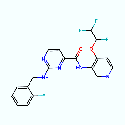 O=C(Nc1cnccc1OC(F)C(F)F)c1ccnc(NCc2ccccc2F)n1